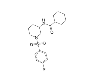 O=C(NC1CCCN(S(=O)(=O)c2ccc(F)cc2)C1)C1CCCCC1